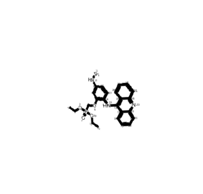 CCOP(=O)(COc1cc(NS)ccc1Nc1c2ccccc2nc2ccccc12)OCC